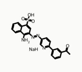 CC(=O)c1cccc(-c2ccc(/N=N/c3cc(S(=O)(=O)O)c4ccccc4c3N)cn2)c1.[NaH]